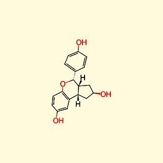 Oc1ccc([C@H]2Oc3ccc(O)cc3[C@H]3C[C@H](O)C[C@H]32)cc1